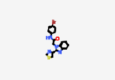 O=C(Cn1c(-c2cscn2)nc2ccccc21)Nc1ccc(Br)cc1